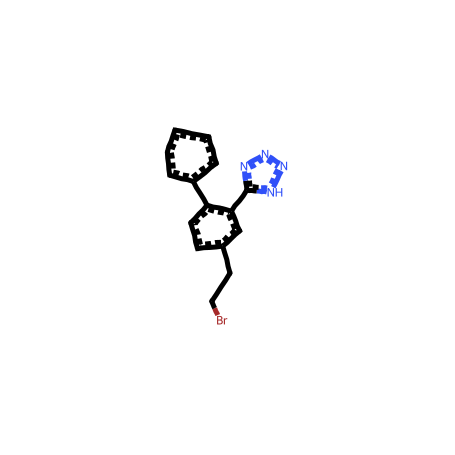 BrCCc1ccc(-c2ccccc2)c(-c2nnn[nH]2)c1